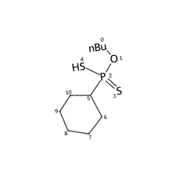 CCCCOP(=S)(S)C1CCCCC1